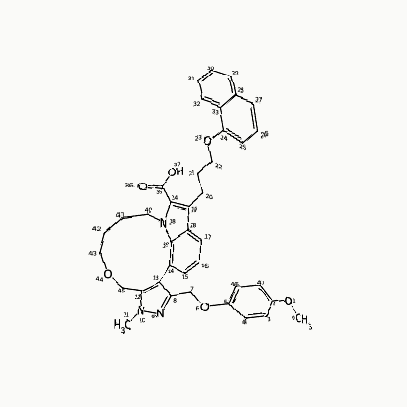 COc1ccc(OCc2nn(C)c3c2-c2cccc4c(CCCOc5cccc6ccccc56)c(C(=O)O)n(c24)CCCCOC3)cc1